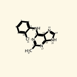 Cc1nc(Nc2ccccc2Cl)c2nc[nH]c2n1